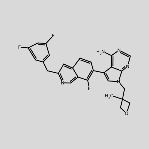 CC1(Cn2cc(-c3ccc4cc(Cc5cc(F)cc(F)c5)ncc4c3F)c3c(N)ncnc32)COC1